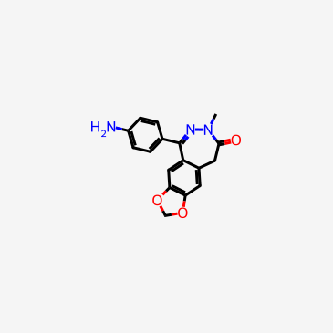 CN1N=C(c2ccc(N)cc2)c2cc3c(cc2CC1=O)OCO3